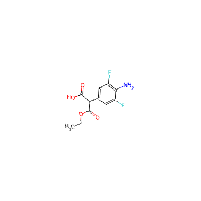 CCOC(=O)C(C(=O)O)c1cc(F)c(N)c(F)c1